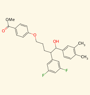 COC(=O)c1ccc(OCCCC(c2cc(F)cc(F)c2)C(O)c2ccc(C)c(C)c2)cc1